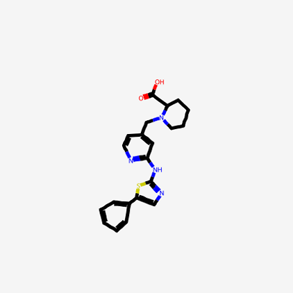 O=C(O)C1CCCCN1Cc1ccnc(Nc2ncc(-c3ccccc3)s2)c1